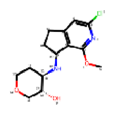 COc1nc(Cl)cc2c1[C@@H](N[C@@H]1CCOC[C@H]1O)CC2